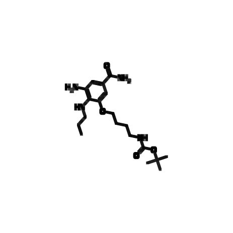 CCCNc1c(N)cc(C(N)=O)cc1OCCCCNC(=O)OC(C)(C)C